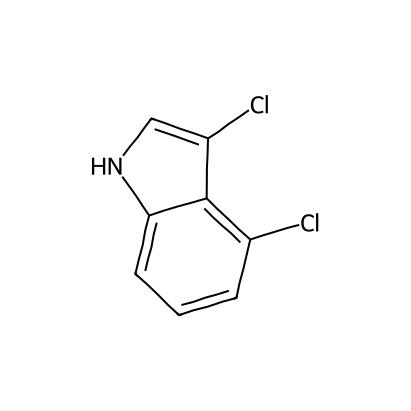 Clc1cccc2[nH]cc(Cl)c12